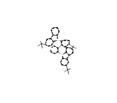 CC(C)(C)c1ccc2c(c1)c1ccccc1n2-c1ccncc1-c1cc(C(F)(F)F)ccc1-n1c2ccccc2c2cc(C(C)(C)C)ccc21